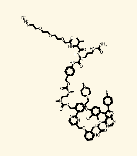 Cc1c(-c2c(-c3ccc(F)cc3)sc3ncnc(O[C@H](Cc4ccccc4OCc4ccnc(-c5ccccc5COC(=O)N(C)CCN(C)C(=O)OCc5ccc(NC(=O)[C@H](CCCNC(N)=O)NC(=O)C(NC(=O)COCCOCCOCCN=[N+]=[N-])C(C)C)cc5)n4)C(=O)O)c23)ccc(OCCN2CCN(C)CC2)c1Cl